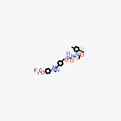 Cc1ccc(C(C)(F)F)c(N2C(=O)CS/C2=N\C(=O)NOCc2ccc(-c3ncn(-c4ccc(OC(F)(F)F)cc4)n3)cc2)c1